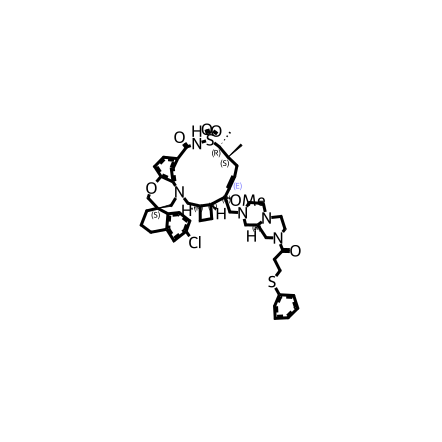 CO[C@@]1(CN2CCN3CCN(C(=O)CCSc4ccccc4)C[C@H]3C2)/C=C/C[C@H](C)[C@@H](C)S(=O)(=O)NC(=O)c2ccc3c(c2)N(C[C@@H]2CC[C@H]21)C[C@@]1(CCCc2cc(Cl)ccc21)CO3